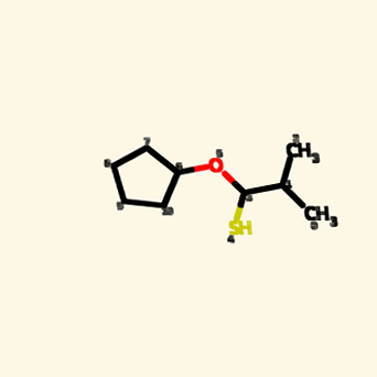 CC(C)C(S)OC1CCCC1